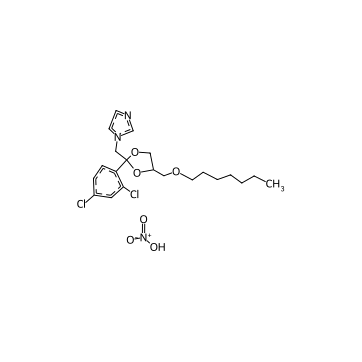 CCCCCCCOCC1COC(Cn2ccnc2)(c2ccc(Cl)cc2Cl)O1.O=[N+]([O-])O